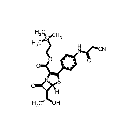 C[C@@H](O)[C@H]1C(=O)N2C(C(=O)OCC[Si](C)(C)C)=C(c3ccc(NC(=O)CC#N)cc3)S[C@H]12